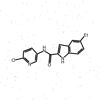 CCc1ccc2[nH]c(C(=O)Nc3ccc(Cl)nc3)cc2c1